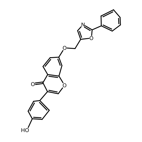 O=c1c(-c2ccc(O)cc2)coc2cc(OCc3cnc(-c4ccccc4)o3)ccc12